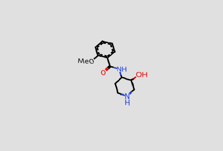 COc1ccccc1C(=O)NC1CCNCC1O